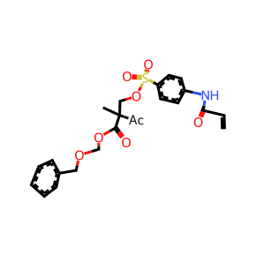 C=CC(=O)Nc1ccc(S(=O)(=O)OCC(C)(C(C)=O)C(=O)OCOCc2ccccc2)cc1